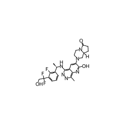 Cc1nnc(N[C@H](C)c2cccc(C(F)(F)CO)c2F)c2cc(N3CCN4C(=O)CC[C@@H]4C3)c(O)nc12